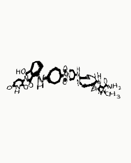 Cn1ncc(Nc2nc(NC3CCN(S(=O)(=O)C4CCCC(Nc5cccc6c5C(=O)N(C5CCC(=O)NC5=O)C6O)CCC4)CC3)ncc2Br)c1C(N)=O